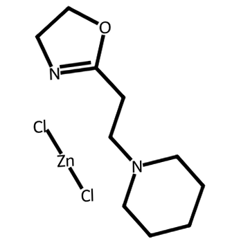 C1CCN(CCC2=NCCO2)CC1.[Cl][Zn][Cl]